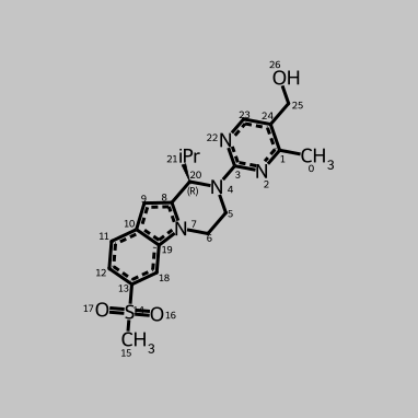 Cc1nc(N2CCn3c(cc4ccc(S(C)(=O)=O)cc43)[C@H]2C(C)C)ncc1CO